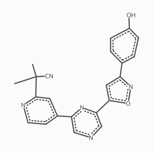 CC(C)(C#N)c1cc(-c2cncc(-c3cc(-c4ccc(O)cc4)no3)n2)ccn1